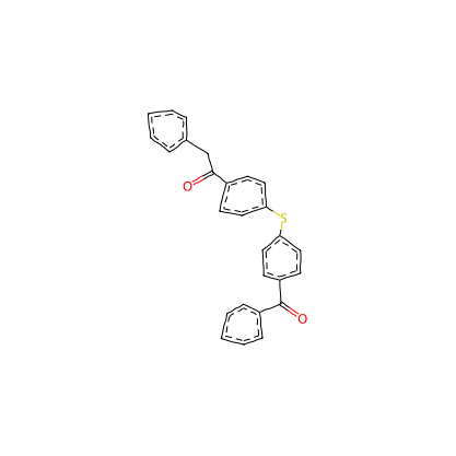 O=C(Cc1ccccc1)c1ccc(Sc2ccc(C(=O)c3ccccc3)cc2)cc1